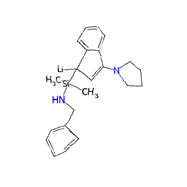 [Li][C]1([Si](C)(C)NCc2ccccc2)C=C(N2CCCC2)c2ccccc21